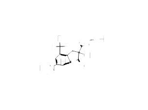 CCOC(=O)C(C)(Cc1ccc(N)cc1C(F)(F)F)C(C)=O